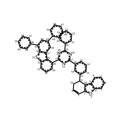 C1=Cc2oc3ccccc3c2C(c2cccc(-c3nc(-c4ccccc4)nc(-c4cccc5sc6c(-c7ccccc7)cc(-c7ccccc7)cc6c45)n3)c2)C1